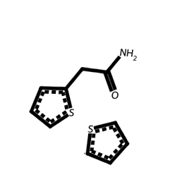 NC(=O)Cc1cccs1.[c]1cccs1